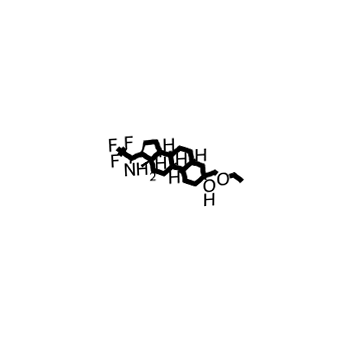 CCOC[C@@]1(O)CC[C@H]2[C@H](CC[C@@H]3[C@@H]2CC[C@]2(C)[C@@H]([C@H](N)C(F)(F)F)CC[C@@H]32)C1